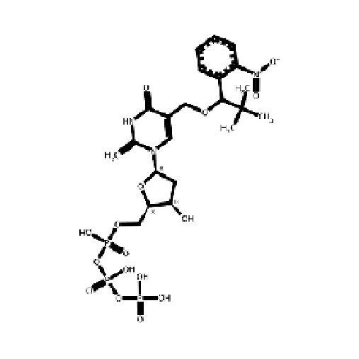 C=C1NC(=O)C(COC(c2ccccc2[N+](=O)[O-])C(C)(C)C)=CN1[C@H]1C[C@@H](O)[C@@H](COP(=O)(O)OP(=O)(O)OP(=O)(O)O)O1